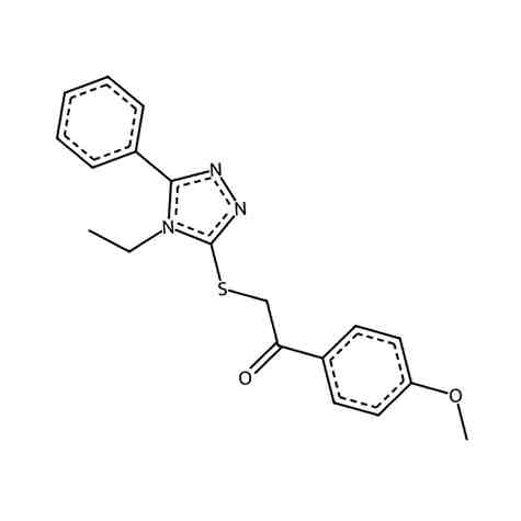 CCn1c(SCC(=O)c2ccc(OC)cc2)nnc1-c1ccccc1